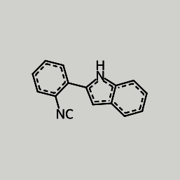 [C-]#[N+]c1ccccc1-c1cc2ccccc2[nH]1